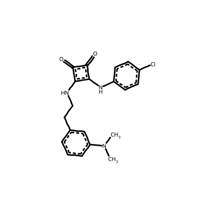 CN(C)c1cccc(CCNc2c(Nc3ccc(Cl)cc3)c(=O)c2=O)c1